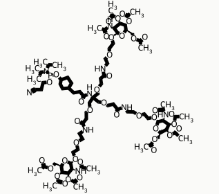 CC(=O)N[C@H]1[C@H](OCCOCCNC(=O)CCOCC(COCCC(=O)NCCOCCO[C@@H]2O[C@H](COC(C)=O)[C@H](OC(C)=O)[C@H](OC(C)=O)[C@H]2NC(C)=O)(COCCC(=O)NCCOCCO[C@@H]2O[C@H](COC(C)=O)[C@H](OC(C)=O)[C@H](OC(C)=O)[C@H]2NC(C)=O)NC(=O)CCC2CCC(OP(OCCC#N)N(C(C)C)C(C)C)CC2)O[C@H](COC(C)=O)[C@H](OC(C)=O)[C@@H]1OC(C)=O